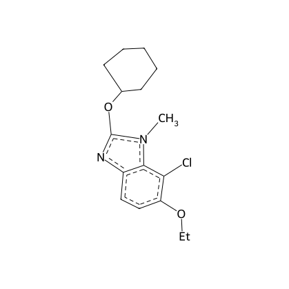 CCOc1ccc2nc(OC3CCCCC3)n(C)c2c1Cl